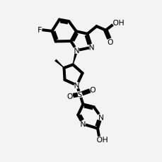 C[C@@H]1CN(S(=O)(=O)c2cnc(O)nc2)C[C@@H]1n1nc(CC(=O)O)c2ccc(F)cc21